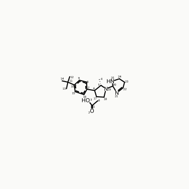 CC(=O)O.C[C@H]1C(c2ccc(C(C)(C)C)cc2)CCN1C1N=CCCN1